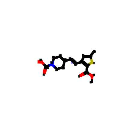 COC(=O)c1sc(C)cc1/C=C/C1CCN(C(=O)O)CC1